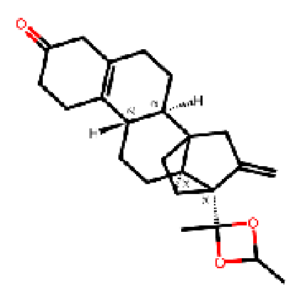 C=C1CC23CC[C@@]1(C1(C)OC(C)O1)[C@@]2(C)CC[C@@H]1C2=C(CC[C@H]13)CC(=O)CC2